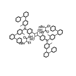 CCCCC(CC)C(=O)Nc1cc(N(c2ccc(-c3ccccc3-c3ccccc3)cc2C)c2ccc(-c3ccccc3-c3ccccc3)cc2C)ccc1C1C(O)C(c2ccc(N(c3ccc(-c4ccccc4-c4ccccc4)cc3C)c3ccc(-c4ccccc4-c4ccccc4)cc3C)cc2NC(=O)C(CC)CCCC)C1O